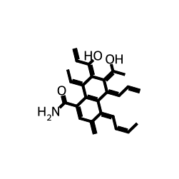 C=C\C=c1c(=C(\C)O)/c(=C(\O)C=C)c(=C\C)/c2c(C(N)=O)cc(=C)/c(=C\C=C/C)c/12